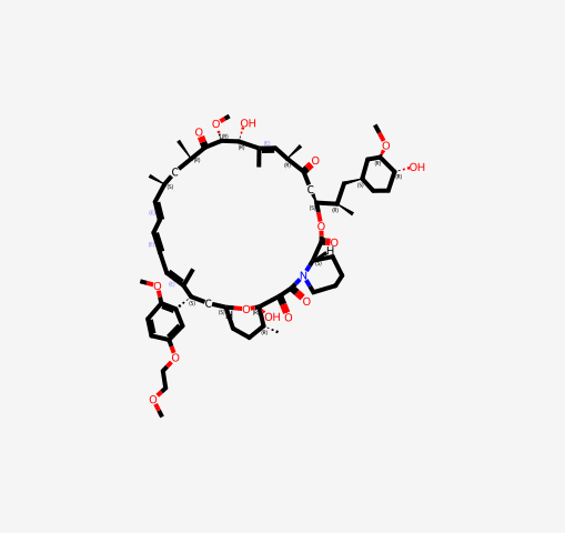 COCCOc1ccc(OC)c([C@H]2C[C@@H]3CC[C@@H](C)[C@@](O)(O3)C(=O)C(=O)N3CCCC[C@H]3C(=O)O[C@H]([C@H](C)C[C@@H]3CC[C@@H](O)[C@H](OC)C3)CC(=O)[C@H](C)/C=C(\C)[C@@H](O)[C@@H](OC)C(=O)[C@H](C)C[C@H](C)/C=C/C=C/C=C/2C)c1